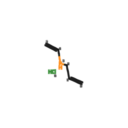 C=CCPC=C.Cl